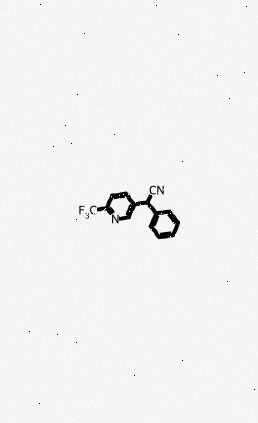 N#CC(c1ccccc1)c1ccc(C(F)(F)F)nc1